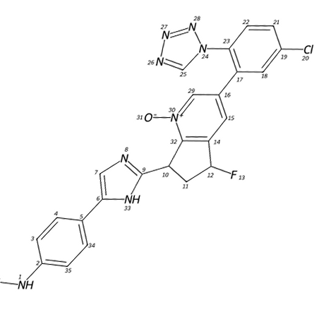 O=C(O)Nc1ccc(-c2cnc(C3CC(F)c4cc(-c5cc(Cl)ccc5-n5cnnn5)c[n+]([O-])c43)[nH]2)cc1